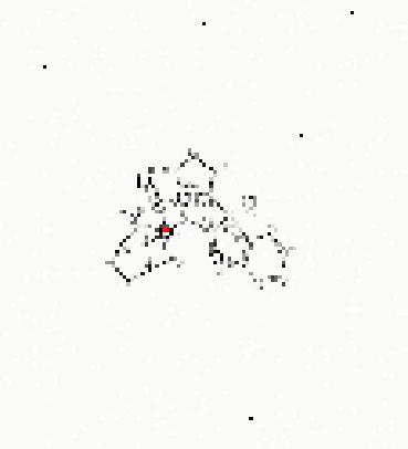 CS(=O)(=O)OC1C2CCC1CN(CC(=O)C(O)(c1ccccc1)C1CCCC1)C2